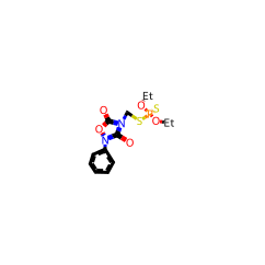 CCOP(=S)(OCC)SCn1c(=O)on(-c2ccccc2)c1=O